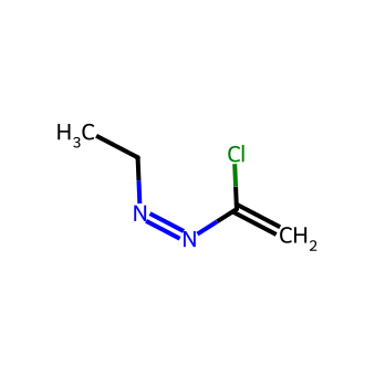 C=C(Cl)/N=N\CC